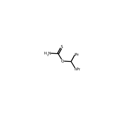 CCCC(OC(N)=S)C(C)C